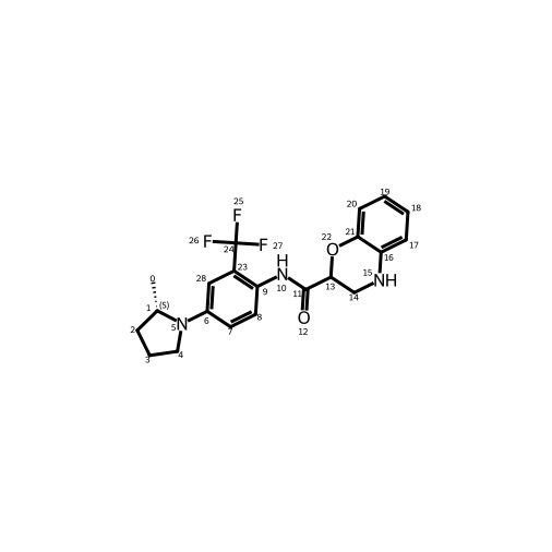 C[C@H]1CCCN1c1ccc(NC(=O)C2CNc3ccccc3O2)c(C(F)(F)F)c1